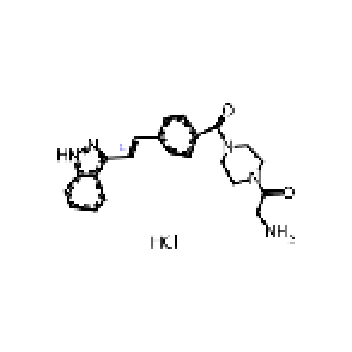 Cl.NCC(=O)N1CCN(C(=O)c2ccc(/C=C/c3n[nH]c4ccccc34)cc2)CC1